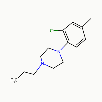 Cc1ccc(N2CCN(CCC(F)(F)F)CC2)c(Cl)c1